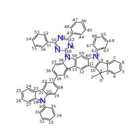 CC1(C)c2ccccc2-c2c1c1cc3c4cc(-c5ccc6c(c5)c5ccccc5n6-c5ccccc5)ccc4n(-c4nc(-c5ccccc5)nc(-c5ccccc5)n4)c3cc1n2-c1ccccc1